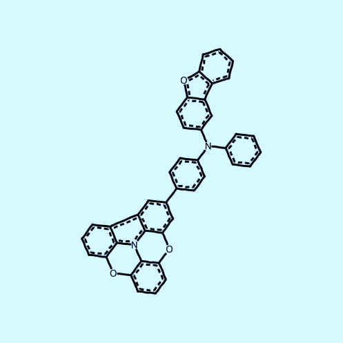 c1ccc(N(c2ccc(-c3cc4c5c(c3)c3cccc6c3n5-c3c(cccc3O4)O6)cc2)c2ccc3oc4ccccc4c3c2)cc1